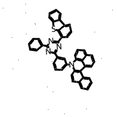 c1ccc(-c2nc(-c3cccc(N4c5ccc6ccccc6c5-c5cccc6cccc4c56)c3)nc(-c3cccc4c3sc3ccccc34)n2)cc1